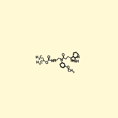 CCC(C)OC(=O)NCCCN(C(=O)CCc1n[nH]c2ncccc12)c1cccc(OC)c1